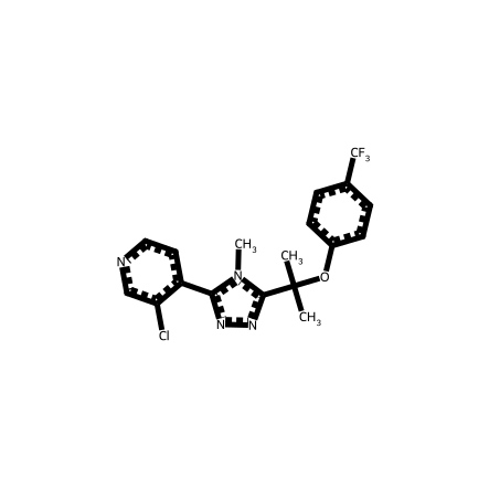 Cn1c(-c2ccncc2Cl)nnc1C(C)(C)Oc1ccc(C(F)(F)F)cc1